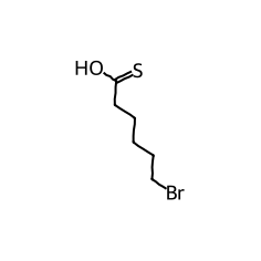 OC(=S)CCCCCBr